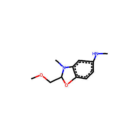 CNc1ccc2c(c1)N(C)C(COC)O2